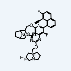 C#Cc1c(F)ccc2cccc(-c3nc4c5c(nc(OC[C@@]67CCCN6C[C@H](F)C7)nc5c3F)N3CC5CCC(C3CO4)N5C(=O)OCC)c12